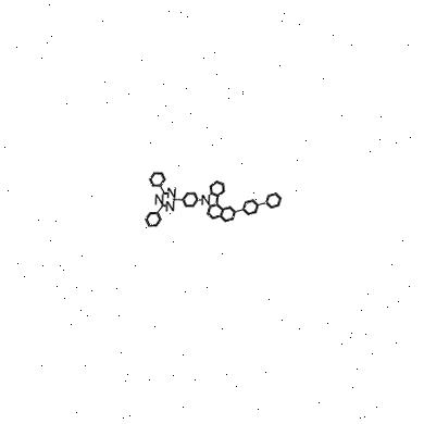 c1ccc(-c2ccc(-c3ccc4ccc5c(c4c3)c3ccccc3n5-c3ccc(-c4nc(-c5ccccc5)nc(-c5ccccc5)n4)cc3)cc2)cc1